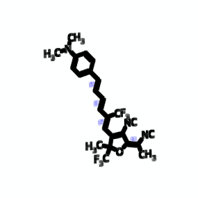 [C-]#[N+]C1=C(/C=C(/C=C/C=C/c2ccc(N(C)C)cc2)C(F)(F)F)C(C)(C(F)(F)F)O/C1=C(\C)[N+]#[C-]